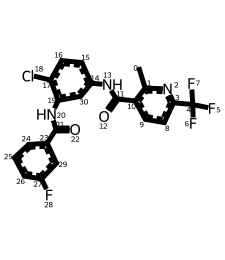 Cc1nc(C(F)(F)F)ccc1C(=O)Nc1ccc(Cl)c(NC(=O)c2cccc(F)c2)c1